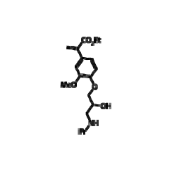 C=C(C(=O)OCC)c1ccc(OCC(O)CNC(C)C)c(OC)c1